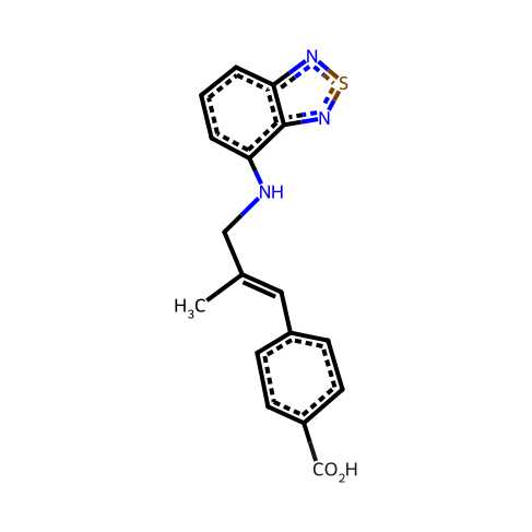 CC(=Cc1ccc(C(=O)O)cc1)CNc1cccc2nsnc12